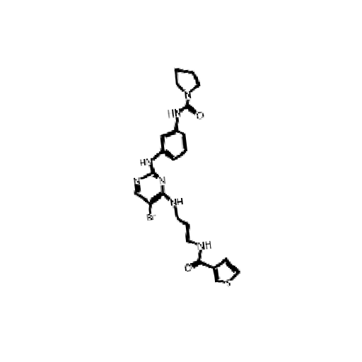 O=C(NCCCNc1nc(Nc2cccc(NC(=O)N3CCCC3)c2)ncc1Br)c1ccsc1